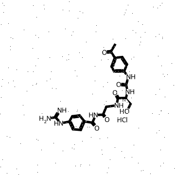 CC(=O)c1ccc(NC(=O)N[C@@H](CO)C(=O)NCC(=O)NC(=O)c2ccc(NC(=N)N)cc2)cc1.Cl